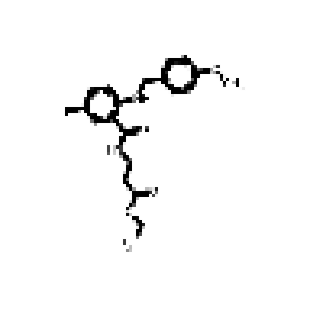 CCOC(=O)CCNC(=O)c1cc(I)ccc1NCc1ccc(OC)cc1